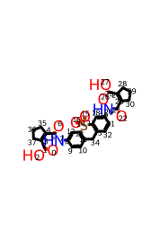 O=C(O)C1=C(C(=O)Nc2ccc3c(c2)S(=O)(=O)c2cc(NC(=O)C4=C(C(=O)O)CCC4)ccc2C3)CCC1